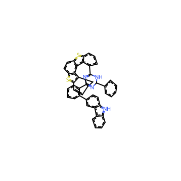 C1=CC2CC2c2c1sc1ccc3sc4cccc(C5=NC(c6ccccc6-c6ccc7[nH]c8ccccc8c7c6)=NC(c6ccccc6)N5)c4c3c21